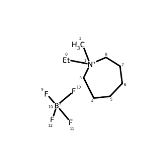 CC[N+]1(C)CCCCCC1.F[B-](F)(F)F